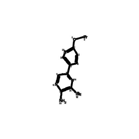 CC(C)Oc1ccc(-c2cnc(N)c(C(C)(C)C)n2)cn1